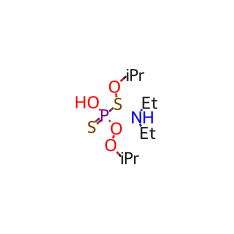 CC(C)OOP(O)(=S)SOC(C)C.CCNCC